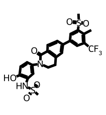 Cc1c(C(F)(F)F)cc(-c2ccc3c(c2)CCN(c2ccc(O)c(NS(C)(=O)=O)c2)C3=O)cc1S(C)(=O)=O